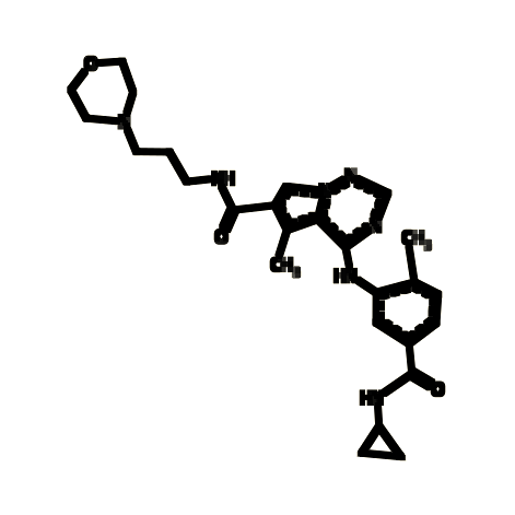 Cc1ccc(C(=O)NC2CC2)cc1Nc1ncnn2cc(C(=O)NCCCN3CCOCC3)c(C)c12